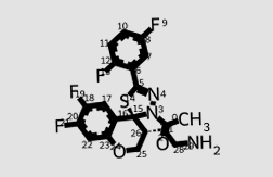 CC(=O)N1N=C(c2cc(F)ccc2F)S[C@@]12c1cc(F)c(F)cc1OC[C@H]2CCN